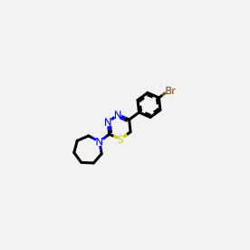 Brc1ccc(C2=NN=C(N3CCCCCC3)SC2)cc1